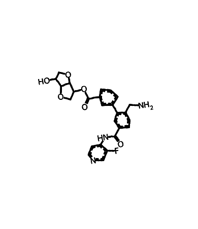 NCc1ccc(C(=O)Nc2ccncc2F)cc1-c1cccc(C(=O)OC2COC3C(O)COC23)c1